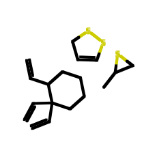 C1=CSSC1.C=CC1CCCCC1(C=C)C=C.CC1CS1